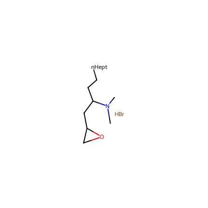 Br.CCCCCCCCCC(CC1CO1)N(C)C